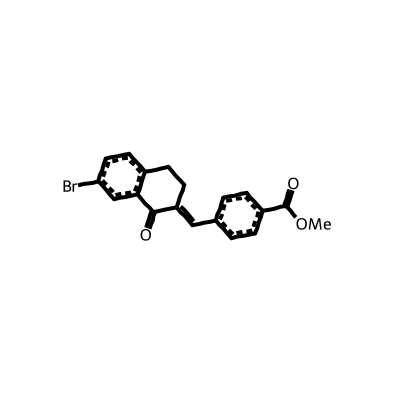 COC(=O)c1ccc(/C=C2\CCc3ccc(Br)cc3C2=O)cc1